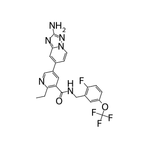 CCc1ncc(-c2ccn3nc(N)nc3c2)cc1C(=O)NCc1cc(OC(F)(F)F)ccc1F